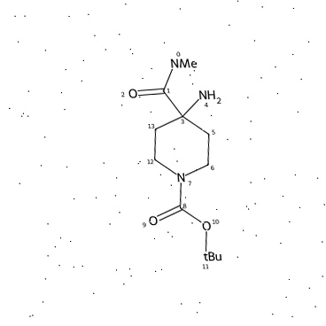 CNC(=O)C1(N)CCN(C(=O)OC(C)(C)C)CC1